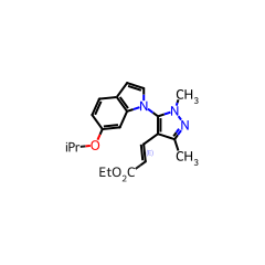 CCOC(=O)/C=C/c1c(C)nn(C)c1-n1ccc2ccc(OC(C)C)cc21